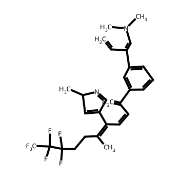 C=C/C(=C\N(C)C)c1cccc(C(=C)/C=C\C(C2=CC(C)N=C2)=C(/C)CCC(F)(F)C(F)(F)C(F)(F)F)c1